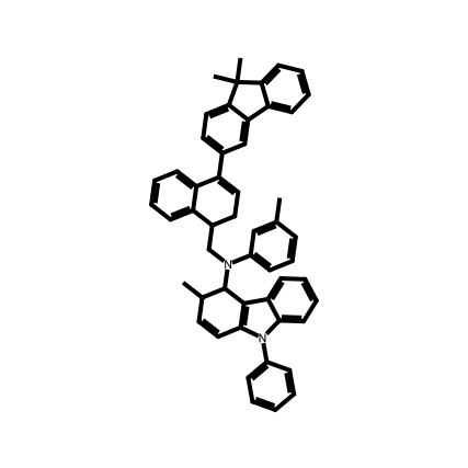 Cc1cccc(N(CC2CC=C(c3ccc4c(c3)-c3ccccc3C4(C)C)c3ccccc32)C2c3c(n(-c4ccccc4)c4ccccc34)C=CC2C)c1